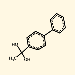 CC(O)(O)c1ccc(-c2ccccc2)cc1